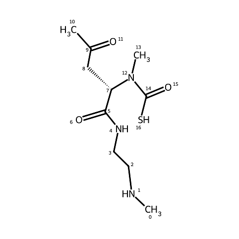 CNCCNC(=O)[C@H](CC(C)=O)N(C)C(=O)S